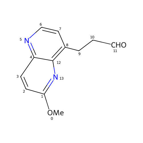 COc1ccc2nccc(CCC=O)c2n1